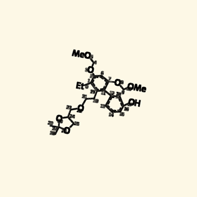 CCc1c(OCOC)cc(OCOC)c(-c2cccc(O)c2)c1CCOCC1COC(C)(C)O1